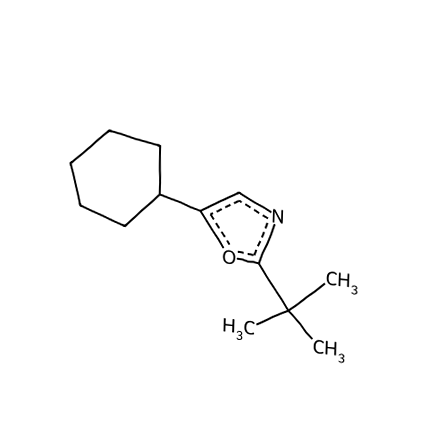 CC(C)(C)c1ncc(C2CCCCC2)o1